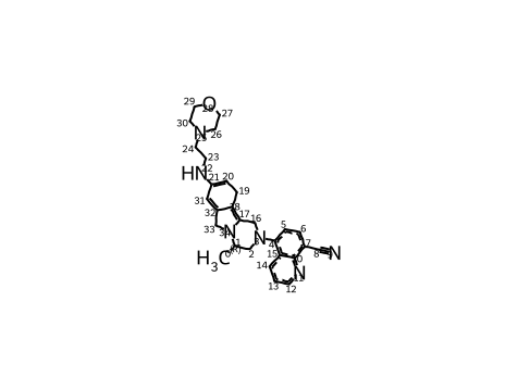 C[C@@H]1CN(c2ccc(C#N)c3ncccc23)CC2=C3CC=C(NCCN4CCOCC4)C=C3CN21